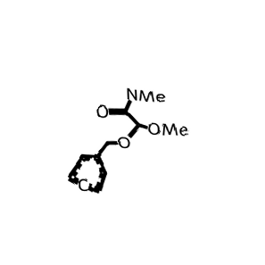 CNC(=O)C(OC)OCc1ccccc1